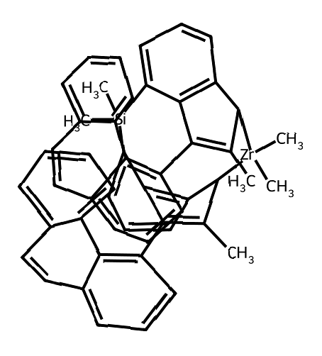 CC1=C(c2cccc3ccc4ccccc4c23)c2c3cccc2[Si](C)(C)c2cccc4c2C(c2cccc5ccc6ccccc6c25)=C(C)[CH]4[Zr]([CH3])([CH3])[CH]13